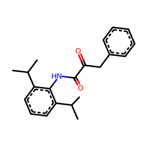 CC(C)c1cccc(C(C)C)c1NC(=O)C(=O)Cc1ccccc1